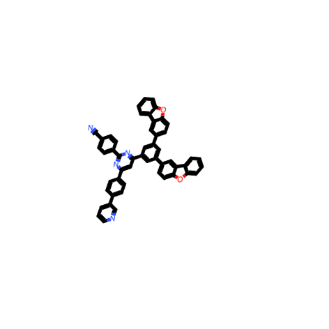 N#Cc1ccc(-c2nc(-c3ccc(-c4cccnc4)cc3)cc(-c3cc(-c4ccc5oc6ccccc6c5c4)cc(-c4ccc5oc6ccccc6c5c4)c3)n2)cc1